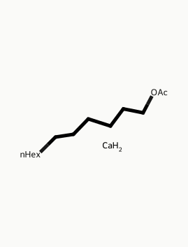 CCCCCCCCCCCCOC(C)=O.[CaH2]